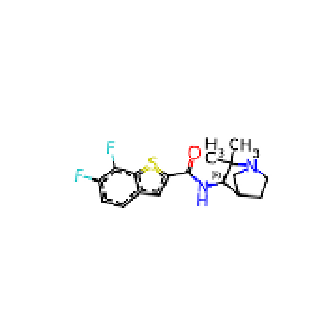 CC1(C)[C@H](NC(=O)c2cc3ccc(F)c(F)c3s2)C2CCN1C2